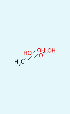 CCCCCCOCCO.OCCO